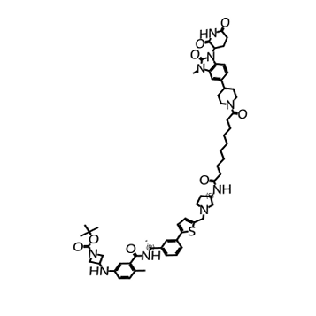 Cc1ccc(NC2CN(C(=O)OC(C)(C)C)C2)cc1C(=O)N[C@H](C)c1cccc(-c2ccc(CN3CC[C@H](NC(=O)CCCCCCCCC(=O)N4CCC(c5ccc6c(c5)n(C)c(=O)n6C5CCC(=O)NC5=O)CC4)C3)s2)c1